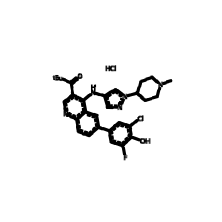 CN1CCC(n2cc(Nc3c(C(=O)C(C)(C)C)cnc4ccc(-c5cc(F)c(O)c(Cl)c5)cc34)cn2)CC1.Cl